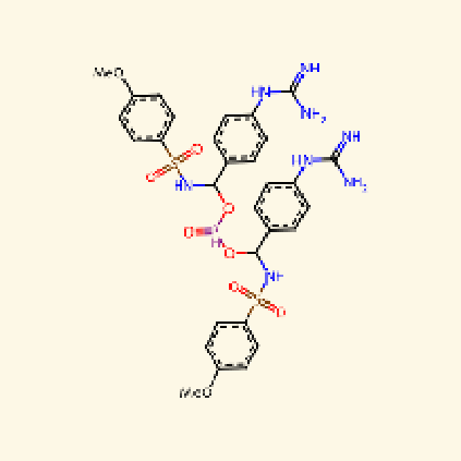 COc1ccc(S(=O)(=O)NC(O[PH](=O)OC(NS(=O)(=O)c2ccc(OC)cc2)c2ccc(NC(=N)N)cc2)c2ccc(NC(=N)N)cc2)cc1